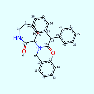 O=C1NCCCCC1N(Cc1ccccc1)C(=O)C(c1ccccc1)c1ccccc1